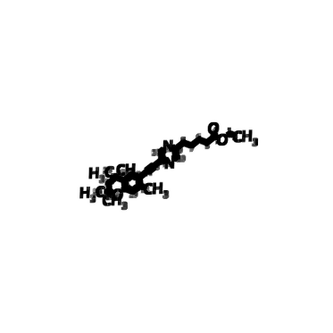 CCOC(=O)CCCCc1cnc(C#Cc2cc3c(cc2C)OC(C)(C)CC3(C)C)cn1